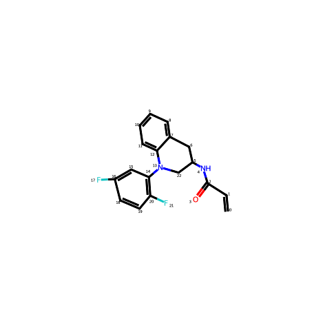 C=CC(=O)NC1Cc2ccccc2N(c2cc(F)ccc2F)C1